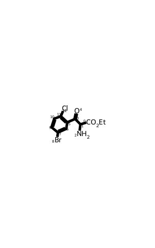 CCOC(=O)C(N)C(=O)c1cc(Br)ccc1Cl